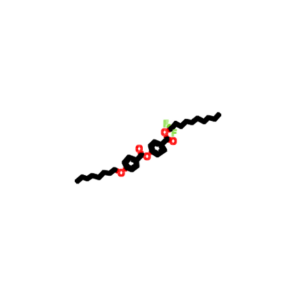 CCCCCCCCCC(F)(F)OC(=O)c1ccc(OC(=O)c2ccc(OCCCCCCCC)cc2)cc1